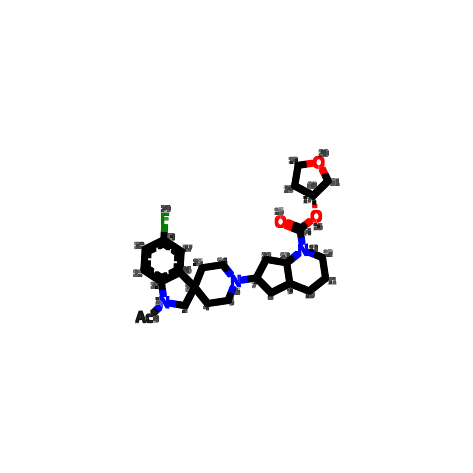 CC(=O)N1CC2(CCN(C3CC4CCCN(C(=O)O[C@@H]5CCOC5)C4C3)CC2)c2cc(F)ccc21